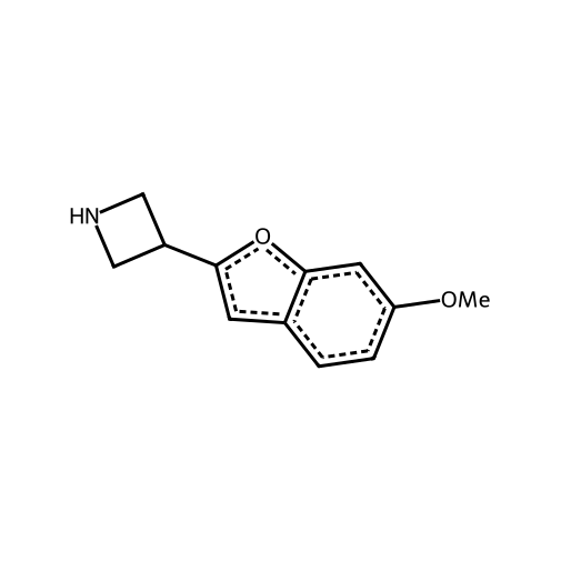 COc1ccc2cc(C3CNC3)oc2c1